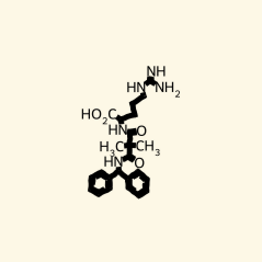 CC(C)(C(=O)NC(CCCNC(=N)N)C(=O)O)C(=O)NC(c1ccccc1)c1ccccc1